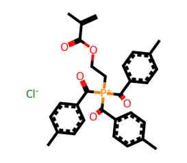 C=C(C)C(=O)OCC[P+](C(=O)c1ccc(C)cc1)(C(=O)c1ccc(C)cc1)C(=O)c1ccc(C)cc1.[Cl-]